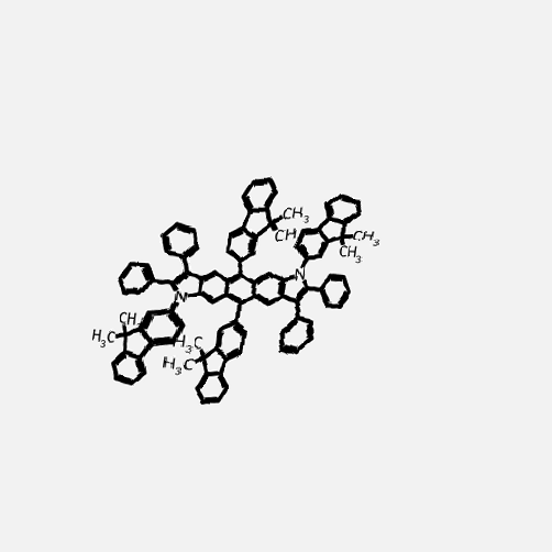 CC1(C)c2ccccc2-c2ccc(-c3c4cc5c(-c6ccccc6)c(-c6ccccc6)n(-c6ccc7c(c6)C(C)(C)c6ccccc6-7)c5cc4c(-c4ccc5c(c4)C(C)(C)c4ccccc4-5)c4cc5c(-c6ccccc6)c(-c6ccccc6)n(-c6ccc7c(c6)C(C)(C)c6ccccc6-7)c5cc34)cc21